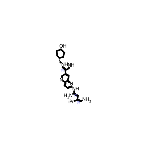 CC(C)C(=C/N)/C=C(\N)Nc1ccc2ncc(/C(C=N)=C/NC[C@H]3CC[C@H](O)CC3)cc2n1